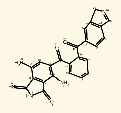 N=C1NC(=O)c2c(N)c(C(=O)c3ccccc3C(=O)c3ccc4c(c3)CN=C4)cc(N)c21